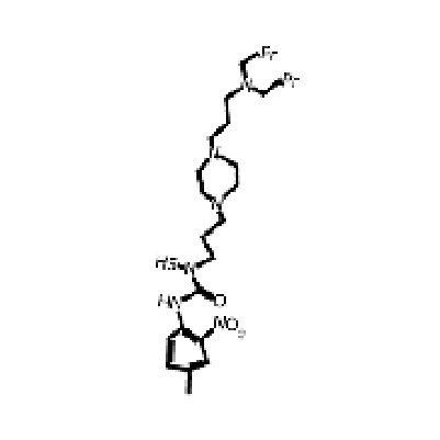 Cc1ccc(NC(=O)N(S)CCCN2CCN(CCCN(CC(C)C)CC(C)C)CC2)c([N+](=O)[O-])c1